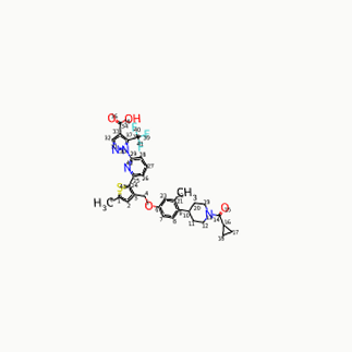 Cc1cc(COc2ccc(C3CCN(C(=O)C4CC4)CC3)c(C)c2)c(-c2cccc(-n3ncc(C(=O)O)c3C(F)(F)F)n2)s1